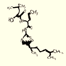 CCC[C@H](NC(=O)[C@@H](O)C(C)C)C(=O)Nc1ncc(C(C)CCC=C(C)C)s1